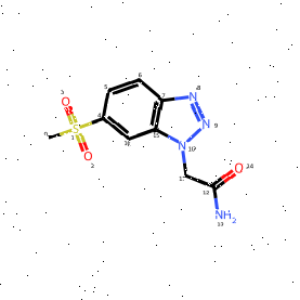 CS(=O)(=O)c1ccc2nnn(CC(N)=O)c2c1